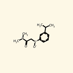 CC(C)c1cccc([S+]([O-])CC(=O)N(C)C)c1